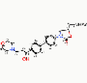 CC(=O)NC[C@H]1CN(c2ccc(-c3ccc(C(O)CCN4CCOCC4)cc3)cc2)C(=O)O1